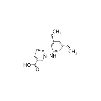 CSc1cc(NN2C=CC=C(C(=O)O)C2)cc(SC)c1